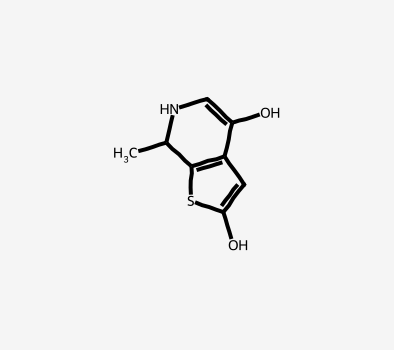 CC1NC=C(O)c2cc(O)sc21